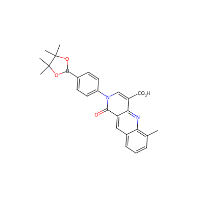 Cc1cccc2cc3c(=O)n(-c4ccc(B5OC(C)(C)C(C)(C)O5)cc4)cc(C(=O)O)c3nc12